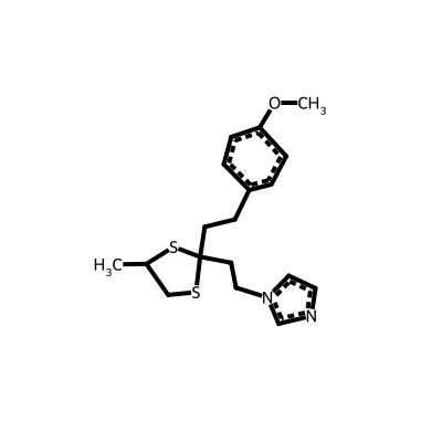 COc1ccc(CCC2(CCn3ccnc3)SCC(C)S2)cc1